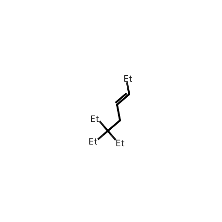 CCC=CCC(CC)(CC)CC